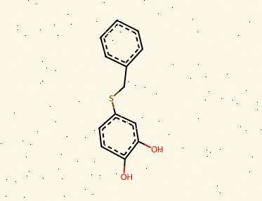 Oc1ccc(SCc2ccccc2)cc1O